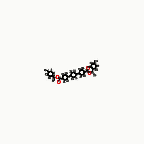 Cc1ccc([C@H](C)OC(=O)c2ccc(-c3ccc(-c4ccc(C(=O)O[C@@H](C)c5ccc(C)cc5)cc4)cc3)cc2)cc1